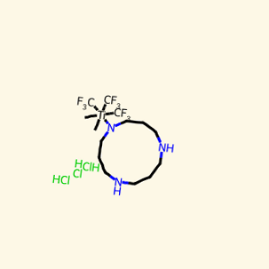 Cl.Cl.Cl.[CH3][Ti]([CH3])([N]1CCCNCCCNCCC1)([C](F)(F)F)([C](F)(F)F)[C](F)(F)F